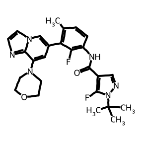 Cc1ccc(NC(=O)c2cnn(C(C)(C)C)c2F)c(F)c1-c1cc(N2CCOCC2)c2nccn2c1